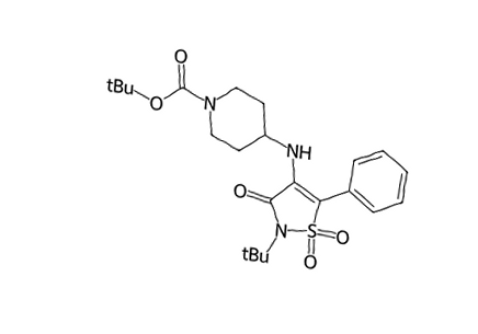 CC(C)(C)OC(=O)N1CCC(NC2=C(c3ccccc3)S(=O)(=O)N(C(C)(C)C)C2=O)CC1